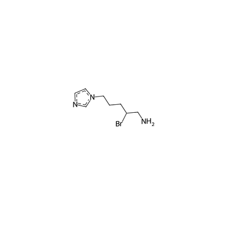 NCC(Br)CCCn1ccnc1